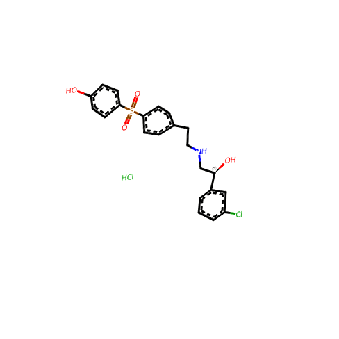 Cl.O=S(=O)(c1ccc(O)cc1)c1ccc(CCNC[C@@H](O)c2cccc(Cl)c2)cc1